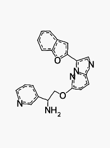 NC(COc1ccc2ncc(-c3cc4ccccc4o3)n2n1)c1cccnc1